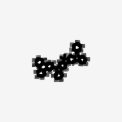 CC1(C)c2cc3c(cc2-c2cc4c5ccccc5n(-c5ccc6c7ccccc7c7ccccc7c6c5)c4cc21)c1ccccc1n3-c1ccccc1